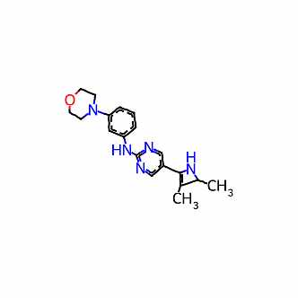 CC1=C(c2cnc(Nc3cccc(N4CCOCC4)c3)nc2)NC1C